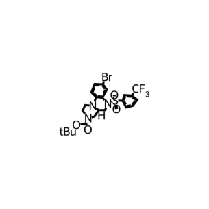 CC(C)(C)OC(=O)N1CCN2c3ccc(Br)cc3N(S(=O)(=O)c3cccc(C(F)(F)F)c3)C[C@H]2C1